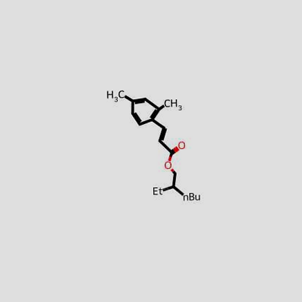 CCCCC(CC)COC(=O)/C=C/c1ccc(C)cc1C